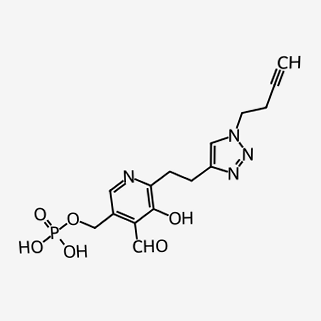 C#CCCn1cc(CCc2ncc(COP(=O)(O)O)c(C=O)c2O)nn1